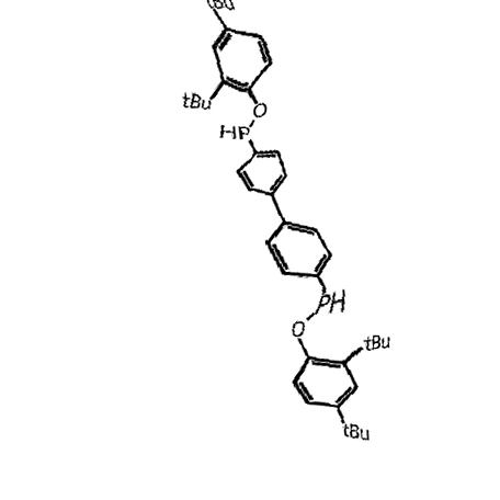 CC(C)(C)c1ccc(OPc2ccc(-c3ccc(POc4ccc(C(C)(C)C)cc4C(C)(C)C)cc3)cc2)c(C(C)(C)C)c1